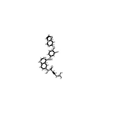 Cc1cc(Nc2ncnc3ccc(N(C)C(=O)C#CCN(C)C)cc23)ccc1Oc1cc2nc#cn2cn1